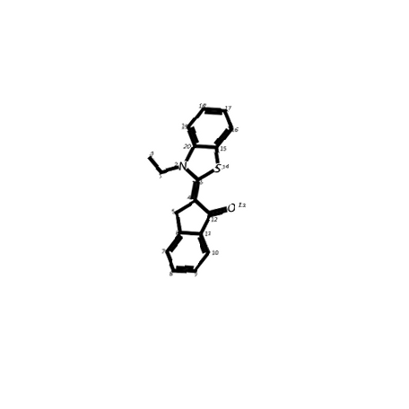 CCN1C(=C2Cc3ccccc3C2=O)Sc2ccccc21